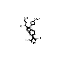 COC1CC(n2c([C@@H](N)CCO)nc3cc(-c4c(C)noc4C)ccc32)C1